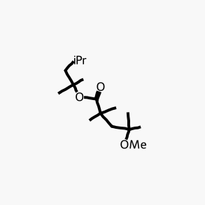 COC(C)(C)CC(C)(C)C(=O)OC(C)(C)CC(C)C